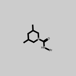 CC1CC(C)CN(C(=O)NC(C)C)C1